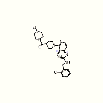 C=C(/N=C1/C=CN=C(N2CCC(C(=O)N3CCN(CC)CC3)CC2)/C1=C/N)NCc1ccccc1Cl